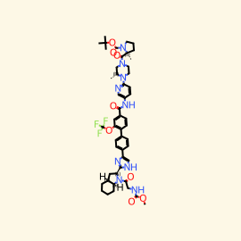 COC(=O)NCC(=O)N1[C@H](c2nc(-c3ccc(-c4ccc(C(=O)Nc5ccc(N6CCN(C(=O)[C@]7(C)CCCN7C(=O)OC(C)(C)C)C[C@H]6C)nc5)cc4OC(F)(F)F)cc3)c[nH]2)C[C@@H]2CCCC[C@@H]21